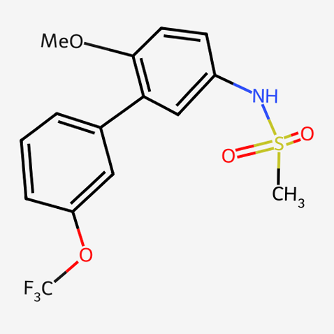 COc1ccc(NS(C)(=O)=O)cc1-c1cccc(OC(F)(F)F)c1